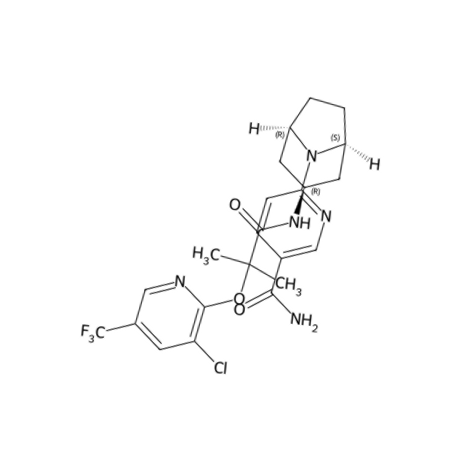 CC(C)(Oc1ncc(C(F)(F)F)cc1Cl)C(=O)N[C@H]1C[C@H]2CC[C@@H](C1)N2c1ccc(C(N)=O)cn1